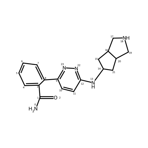 NC(=O)c1ccccc1-c1ccc(NC2CC3CNCC3C2)nn1